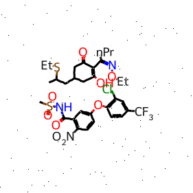 CCC/C(=N/OCC)C1=C(O)CC(CC(C)SCC)CC1=O.CS(=O)(=O)NC(=O)c1cc(Oc2ccc(C(F)(F)F)cc2Cl)ccc1[N+](=O)[O-]